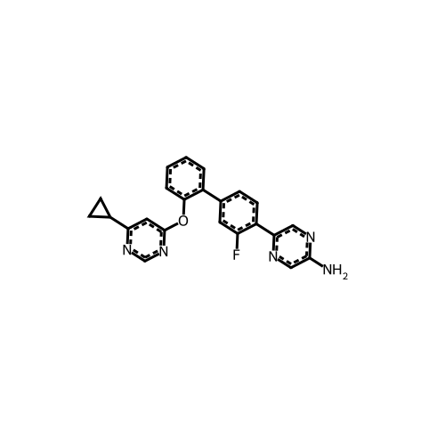 Nc1cnc(-c2ccc(-c3ccccc3Oc3cc(C4CC4)ncn3)cc2F)cn1